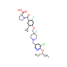 CC(C)Oc1ncc(CN2CCC(F)(COc3cc(F)c(C(=O)N4CCC[C@H]4C(=O)O)cc3C3CC3)CC2)cc1Cl